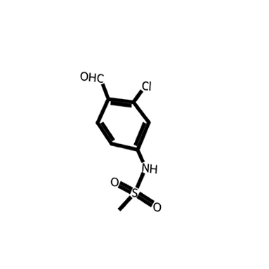 CS(=O)(=O)Nc1ccc(C=O)c(Cl)c1